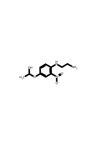 CC(O)Oc1ccc(NCCN)c([N+](=O)[O-])c1